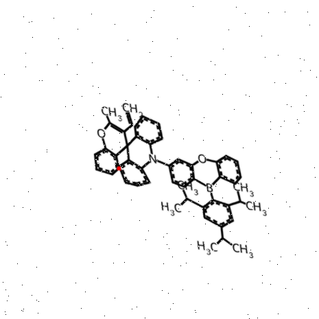 C=CC1=C(C)Oc2ccccc2C12c1ccccc1N(c1ccc3c(c1)Oc1ccccc1B3c1c(C(C)C)cc(C(C)C)cc1C(C)C)c1ccccc12